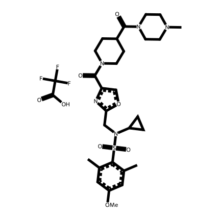 COc1cc(C)c(S(=O)(=O)N(Cc2nc(C(=O)N3CCC(C(=O)N4CCN(C)CC4)CC3)co2)C2CC2)c(C)c1.O=C(O)C(F)(F)F